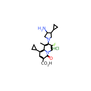 Cc1c(N2CC(N)C(C3CC3)C2)c(F)cn2c(=O)c(C(=O)O)cc(C3CC3)c12.Cl